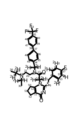 [2H]c1c([2H])c(CSc2nc(=O)c3c(n2C([2H])([2H])C(=O)N(CCN(C([2H])([2H])C)C([2H])([2H])C)C([2H])([2H])c2ccc(-c4ccc(C(F)(F)F)cc4)cc2)CCC3)c([2H])c([2H])c1F